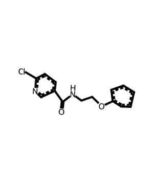 O=C(NCCOc1ccccc1)c1ccc(Cl)nc1